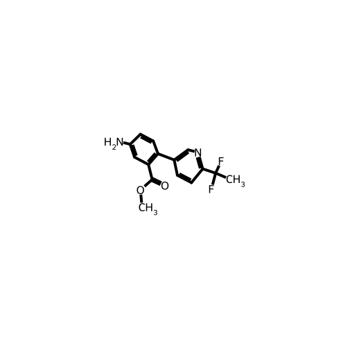 COC(=O)c1cc(N)ccc1-c1ccc(C(C)(F)F)nc1